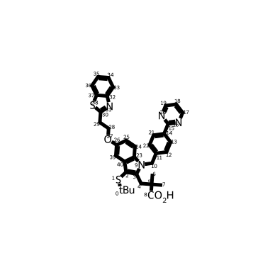 CC(C)(C)Sc1c(CC(C)(C)C(=O)O)n(Cc2ccc(-c3ncccn3)cc2)c2ccc(OCCc3nc4ccccc4s3)cc12